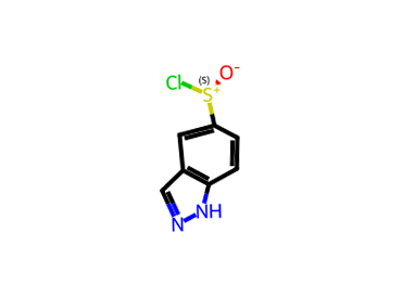 [O-][S@+](Cl)c1ccc2[nH]ncc2c1